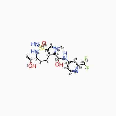 C=C(O)[C@H]1CCc2c(cn(C)c2C(O)Nc2ccnc(C(F)F)c2)S(=N)(=O)N1